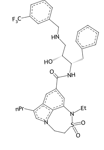 CCCc1cn2c3c(cc(C(=O)N[C@@H](Cc4ccccc4)[C@H](O)CNCc4cccc(C(F)(F)F)c4)cc13)N(CC)S(=O)(=O)CC2